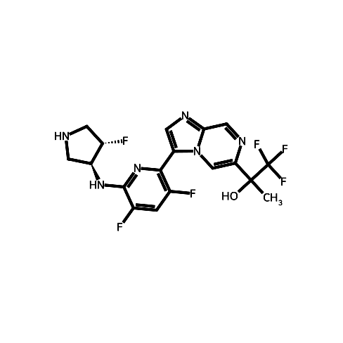 CC(O)(c1cn2c(-c3nc(N[C@H]4CNC[C@@H]4F)c(F)cc3F)cnc2cn1)C(F)(F)F